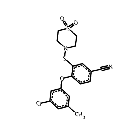 Cc1cc(Cl)cc(Oc2ccc(C#N)cc2SN2CCS(=O)(=O)CC2)c1